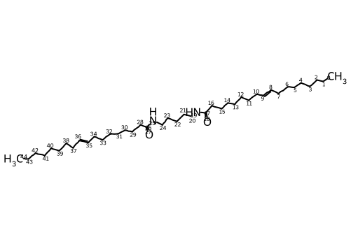 CCCCCCCCC=CCCCCCCCC(=O)NCCCCCNC(=O)CCCCCCCC=CCCCCCCCC